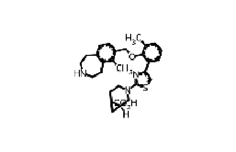 Cc1cccc(-c2csc(N3CC[C@@]4(C(=O)O)C[C@H]4C3)n2)c1OCc1ccc2c(c1C)CCNCC2